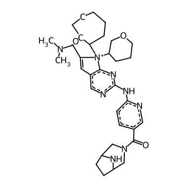 CN(C)C(=O)C1=Cc2cnc(Nc3ccc(C(=O)N4CC5CCC(C4)N5)cn3)nc2[N+]1(C1CCCCCC1)C1CCCOC1